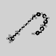 N#Cc1ccc(CN2CCC(NC(=O)c3ccc(C(=O)N4CCC(Oc5ccc(NC(=O)CCOCCOCCOCCOCCNC(=O)CCCC6SC[C@@H]7NC(=O)N[C@H]67)cc5)CC4)nc3)CC2)cc1